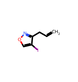 C=CCc1nocc1I